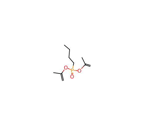 C=C(C)OP(=O)(CCCC)OC(=C)C